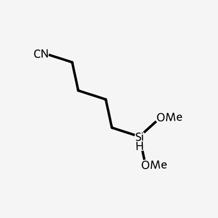 [C-]#[N+]CCCC[SiH](OC)OC